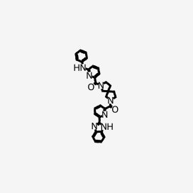 O=C(c1cccc(Nc2ccccc2)n1)N1CCC2(CCN(C(=O)c3cccc(-c4nc5ccccc5[nH]4)n3)C2)C1